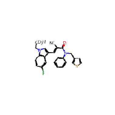 N#C/C(=C\c1cn(CC(=O)O)c2ccc(F)cc12)C(=O)N(Cc1ccsc1)c1ccccc1